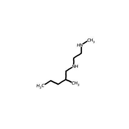 CCCC(C)CNCCNC